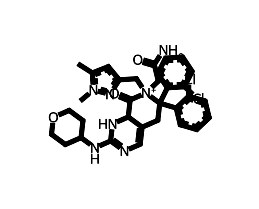 Cc1cc(C[N+]2(CC(N)=O)C(=O)C3NC(NC4CCOCC4)=NC=C3CC2(c2ccccc2Cl)c2ccccc2Cl)nn1C